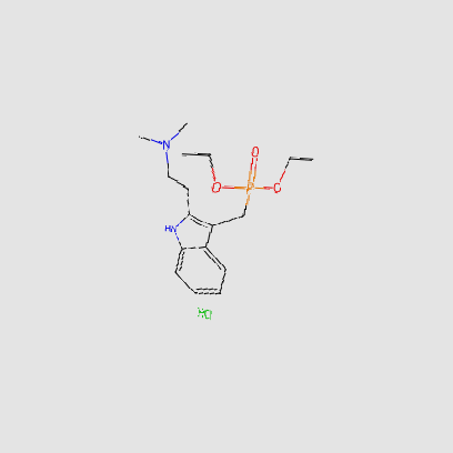 CCOP(=O)(Cc1c(CCN(C)C)[nH]c2ccccc12)OCC.Cl